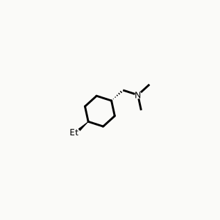 CC[C@H]1CC[C@H](CN(C)C)CC1